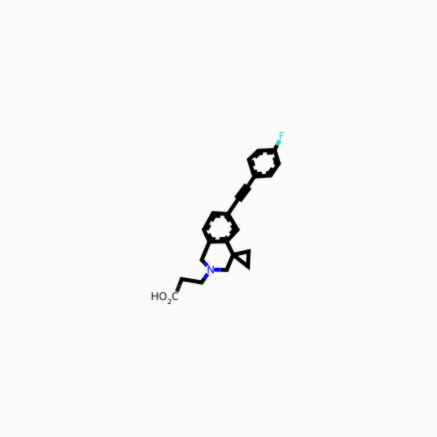 O=C(O)CCN1Cc2ccc(C#Cc3ccc(F)cc3)cc2C2(CC2)C1